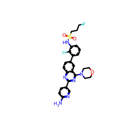 Nc1ccc(-c2nc(N3CCOCC3)c3cc(-c4cccc(NS(=O)(=O)CCCF)c4F)ccc3n2)cn1